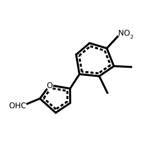 Cc1c(-c2ccc(C=O)o2)ccc([N+](=O)[O-])c1C